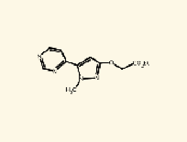 CCOC(=O)COc1cc(-c2ccncn2)n(C)n1